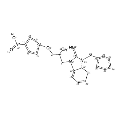 N=C1N(CC(O)COc2ccc([N+](=O)[O-])cc2)C2=CC=CCC2N1Cc1ccccc1